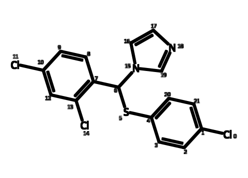 Clc1ccc(SC(c2ccc(Cl)cc2Cl)n2ccnc2)cc1